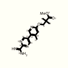 COC(=O)C(C)(C)COc1cc(C)c(-c2cnc(C(=N)N)nc2)cn1